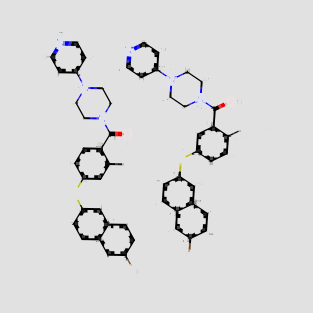 O=C(O)c1cc(Sc2ccc3cc(Br)ccc3c2)ccc1C(=O)N1CCN(c2ccncc2)CC1.O=C(O)c1ccc(Sc2ccc3cc(Br)ccc3c2)cc1C(=O)N1CCN(c2ccncc2)CC1